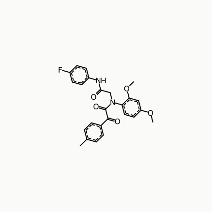 COc1ccc(N(CC(=O)Nc2ccc(F)cc2)C(=O)C(=O)c2ccc(C)cc2)c(OC)c1